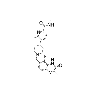 CNC(=O)c1ccc(C2CCN(Cc3ccc4nc(C)c(=O)[nH]c4c3F)CC2)c(C)n1